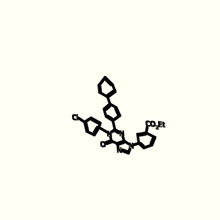 CCOC(=O)c1cccc(-n2cnc3c(=O)n(-c4ccc(Cl)cc4)c(-c4ccc(-c5ccccc5)cc4)nc32)c1